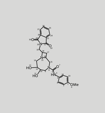 COc1ccc(NC(=O)N2CC(O)C(O)CN3C(CC3CN3C(=O)c4ccccc4C3=O)C2)cc1